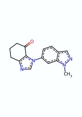 Cn1ncc2ccc(-n3cnc4c3C(=O)CCC4)cc21